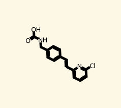 O=C(O)NCc1ccc(C=Cc2cccc(Cl)n2)cc1